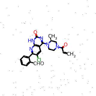 C=CC(=O)N1CCN(c2nc(=O)[nH]c3nc(-c4ccccc4C=O)c(Cl)cc23)[C@@H](C)C1